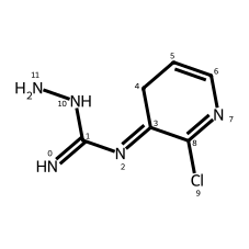 N=C(N=C1CC=CN=C1Cl)NN